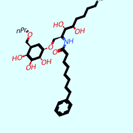 CCCCCCCCCCCCCC[C@@H](O)[C@@H](O)[C@H](CO[C@H]1C[C@H](COCCC)[C@H](O)[C@H](O)[C@H]1O)NC(=O)CCCCCCCc1ccccc1